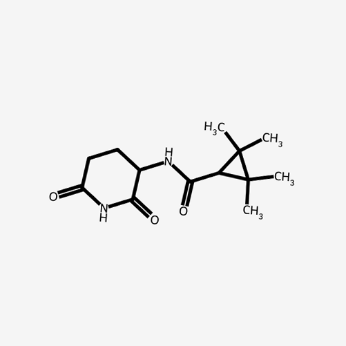 CC1(C)C(C(=O)NC2CCC(=O)NC2=O)C1(C)C